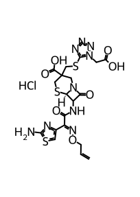 C=CCON=C(C(=O)NC1C(=O)N2CC(CSc3nnnn3CC(=O)O)(C(=O)O)CS[C@H]12)c1csc(N)n1.Cl